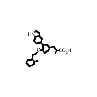 Cc1ccccc1CCOc1ccc(CC(C)C(=O)O)cc1-c1ccc2[nH]ccc2c1